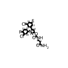 NC(=O)CCNC(=O)Oc1cc(-c2cc(F)cc(Cl)c2)n(-c2ccc(F)c(Cl)c2)n1